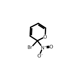 O=[N+]([O-])C1(Br)C=CC=CO1